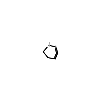 C1=CCCNN=1